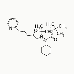 CC(C)(C)OC(=O)[C@H](C1CCCCC1)N1CC(CCCc2ccccn2)OC1(C)C